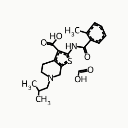 Cc1ccccc1C(=O)Nc1sc2c(c1C(=O)O)CCN(CC(C)C)C2.O=CO